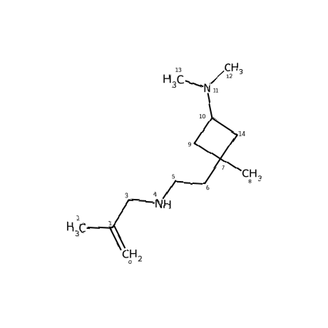 C=C(C)CNCCC1(C)CC(N(C)C)C1